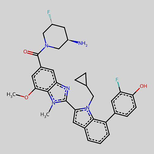 COc1cc(C(=O)N2C[C@H](N)C[C@@H](F)C2)cc2nc(-c3cc4cccc(-c5ccc(O)c(F)c5)c4n3CC3CC3)n(C)c12